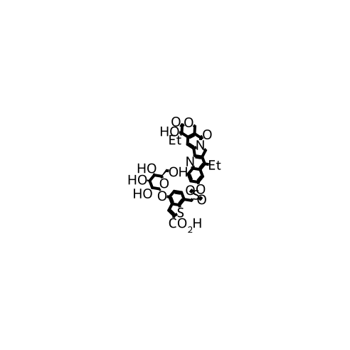 CCc1c2c(nc3ccc(OS(=O)(=O)Cc4ccc(O[C@@H]5O[C@H](CO)[C@H](O)[C@H](O)[C@H]5O)c5cc(C(=O)O)sc45)cc13)-c1cc3c(c(=O)n1C2)COC(=O)[C@]3(O)CC